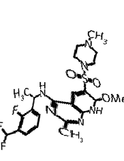 COC1Nc2nc(C)nc(N[C@H](C)c3cccc(C(F)F)c3F)c2C=C1S(=O)(=O)N1CCN(C)CC1